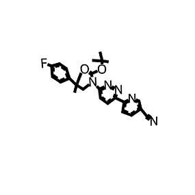 CC(C)(C)OC(=O)N(CC(C)(C)c1ccc(F)cc1)c1ccc(-c2ccc(C#N)cn2)nn1